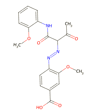 COc1cc(C(=O)O)ccc1N=NC(C(C)=O)C(=O)Nc1ccccc1OC